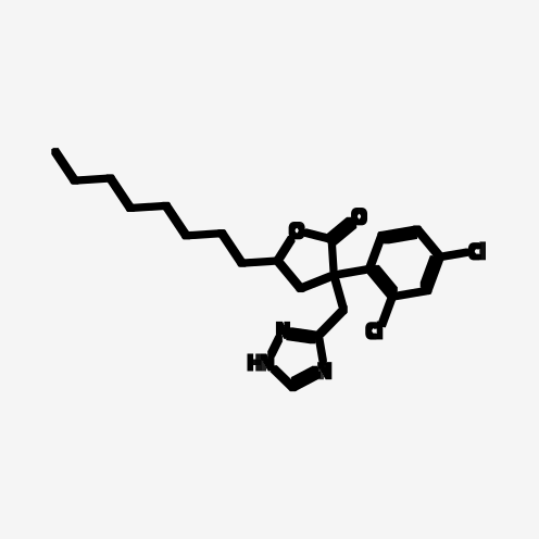 CCCCCCCCC1CC(Cc2nc[nH]n2)(c2ccc(Cl)cc2Cl)C(=O)O1